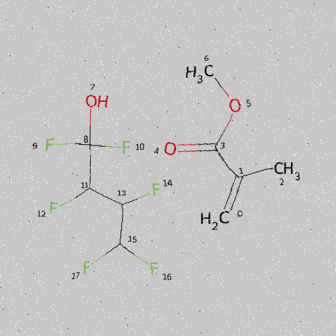 C=C(C)C(=O)OC.OC(F)(F)C(F)C(F)C(F)F